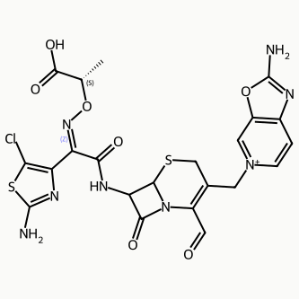 C[C@H](O/N=C(\C(=O)NC1C(=O)N2C(C=O)=C(C[n+]3ccc4nc(N)oc4c3)CSC12)c1nc(N)sc1Cl)C(=O)O